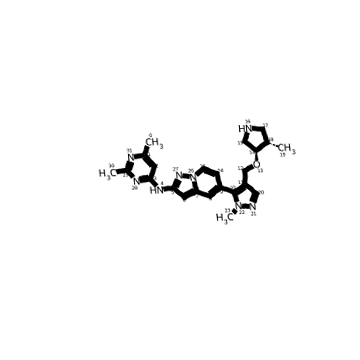 Cc1cc(Nc2cc3cc(-c4c(CO[C@H]5CNC[C@@H]5C)cnn4C)ccn3n2)nc(C)n1